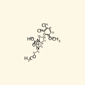 COCCNCC1CC(c2c(OC)ccc(Cl)c2Cl)CN1C(=O)O